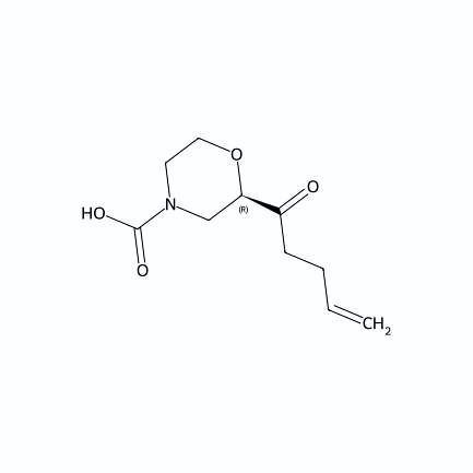 C=CCCC(=O)[C@H]1CN(C(=O)O)CCO1